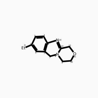 CCc1ccc2c(c1)CN1CCOCC1=N2